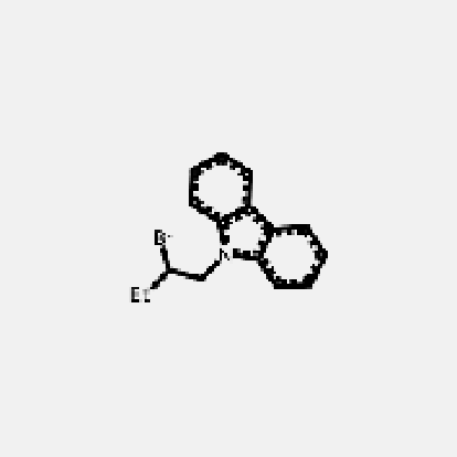 CCC(Br)Cn1c2ccccc2c2ccccc21